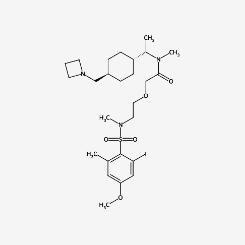 COc1cc(C)c(S(=O)(=O)N(C)CCOCC(=O)N(C)C(C)[C@H]2CC[C@H](CN3CCC3)CC2)c(I)c1